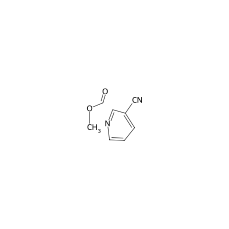 COC=O.N#Cc1cccnc1